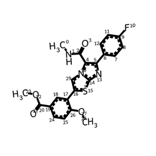 CNC(=O)c1c(-c2ccc(F)cc2)nc2sc(-c3cc(C(=O)OC)ccc3OC)cn12